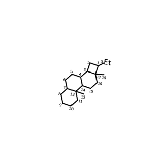 CCC1CC2C3CCC4CCCCC4(C)C3CCC12C